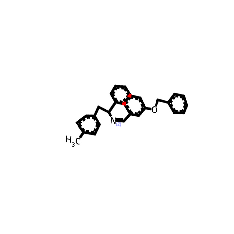 Cc1ccc(CC(/N=C\c2cccc(OCc3ccccc3)c2)c2ccccc2)cc1